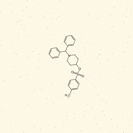 Cc1ccc(S(=O)(=O)OC2CCN(C(c3ccccc3)c3ccccc3)CC2)cc1